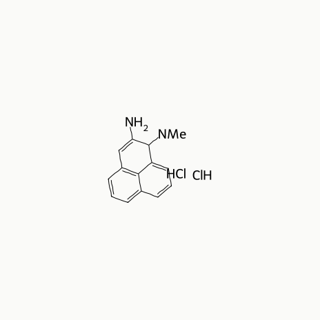 CNC1C(N)=Cc2cccc3cccc1c23.Cl.Cl